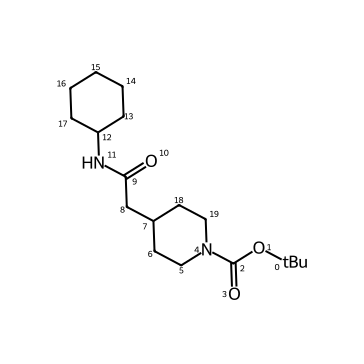 CC(C)(C)OC(=O)N1CCC(CC(=O)NC2CCCCC2)CC1